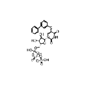 O=c1[nH]c(=O)n([C@@H]2O[C@H](COP(=O)(O)OP(=O)(O)OP(=O)(O)O)[C@@H](O)[C@H]2O)cc1Sc1cccc(-c2ccccc2)c1